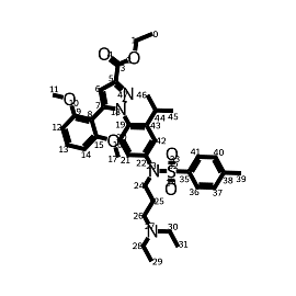 CCOC(=O)c1cc(-c2c(OC)cccc2OC)n(-c2ccc(N(CCCN(CC)CC)S(=O)(=O)c3ccc(C)cc3)cc2C(C)C)n1